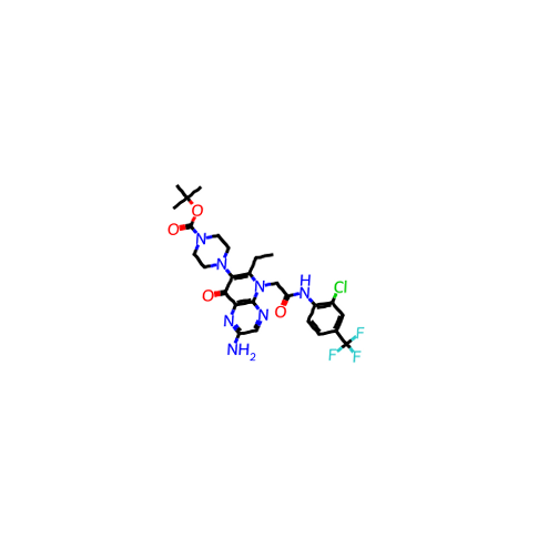 CCc1c(N2CCN(C(=O)OC(C)(C)C)CC2)c(=O)c2nc(N)cnc2n1CC(=O)Nc1ccc(C(F)(F)F)cc1Cl